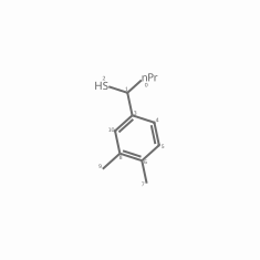 CCCC(S)c1ccc(C)c(C)c1